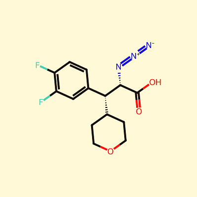 [N-]=[N+]=N[C@H](C(=O)O)[C@@H](c1ccc(F)c(F)c1)C1CCOCC1